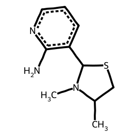 CC1CSC(c2cccnc2N)N1C